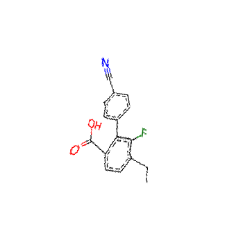 CCc1ccc(C(=O)O)c(-c2ccc(C#N)cc2)c1F